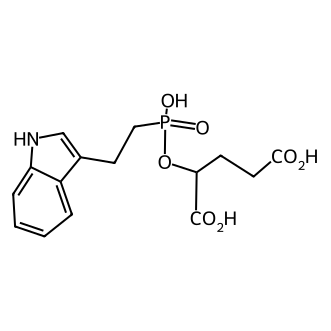 O=C(O)CCC(OP(=O)(O)CCc1c[nH]c2ccccc12)C(=O)O